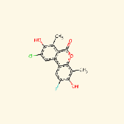 Cc1c(O)c(F)cc2c1oc(=O)c1c(C)c(O)c(Cl)cc12